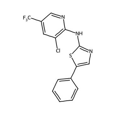 FC(F)(F)c1cnc(Nc2ncc(-c3ccccc3)s2)c(Cl)c1